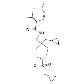 Cc1ccc(C(=O)NCC2(CC3CC3)CCC(S(=O)(=O)CC3CC3)CC2)c(C)c1